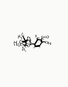 CC1(C)OB(c2ccc(O)c(C=O)c2F)OC1(C)C